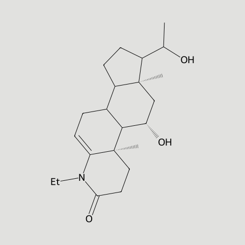 CCN1C(=O)CC[C@@]2(C)C1=CCC1C3CCC(C(C)O)[C@@]3(C)C[C@H](O)C12